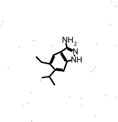 CCc1cc2c(N)n[nH]c2cc1C(C)C